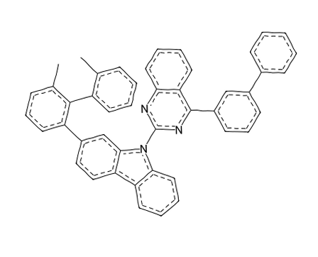 Cc1ccccc1-c1c(C)cccc1-c1ccc2c3ccccc3n(-c3nc(-c4cccc(-c5ccccc5)c4)c4ccccc4n3)c2c1